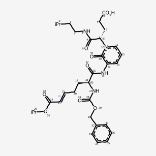 CC(C)CCNC(=O)[C@H](CCC(=O)O)n1cccc(NC(=O)[C@H](CC/C=C/C(=O)OC(C)C)NC(=O)OCc2ccccc2)c1=O